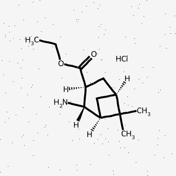 CCOC(=O)[C@H]1C[C@@H]2C[C@H]([C@@H]1N)C2(C)C.Cl